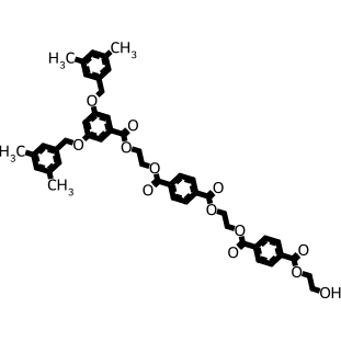 Cc1cc(C)cc(COc2cc(OCc3cc(C)cc(C)c3)cc(C(=O)OCCOC(=O)c3ccc(C(=O)OCCOC(=O)c4ccc(C(=O)OCCO)cc4)cc3)c2)c1